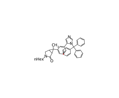 CCCCCCN1CC2C(C1=O)C2(C)c1cccc(-c2cncn2C(c2ccccc2)(c2ccccc2)c2ccccc2)c1